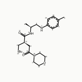 Cc1ccc(NC[C@H](C)NC(=O)[C@@H](CC(=O)N2CCOCC2)CC(C)(C)C)cc1